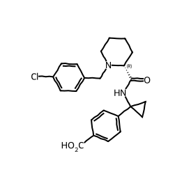 O=C(O)c1ccc(C2(NC(=O)[C@H]3CCCCN3Cc3ccc(Cl)cc3)CC2)cc1